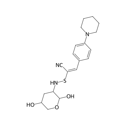 N#C/C(=C\c1ccc(N2CCCCC2)cc1)SNC1CC(O)COC1O